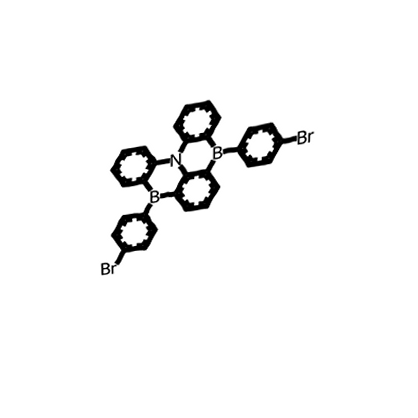 Brc1ccc(B2c3ccccc3N3c4ccccc4B(c4ccc(Br)cc4)c4cccc2c43)cc1